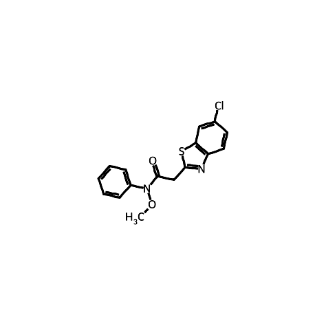 CON(C(=O)Cc1nc2ccc(Cl)cc2s1)c1ccccc1